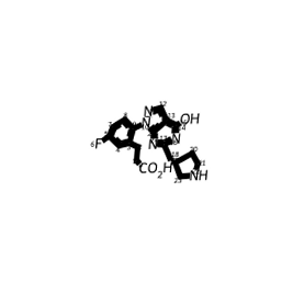 O=C(O)CCc1cc(F)ccc1-n1ncc2c(O)nc(C[C@H]3CCNC3)nc21